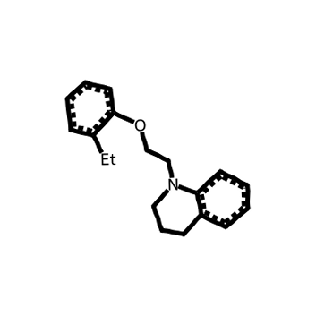 CCc1ccccc1OCCN1CCCc2ccccc21